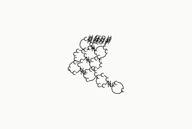 C1CCCCCCC(N=NC2CCCCCCCCCCCCC2)CCCCCC1.C1CCCCCCC(N=NC2CCCCCCCCCCCCC2)CCCCCC1.C1CCCCCCC(N=NC2CCCCCCCCCCCCC2)CCCCCC1.C1CCCCCCC(N=NC2CCCCCCCCCCCCC2)CCCCCC1.CC(=O)O.CC(=O)O.CC(=O)O.CC(=O)O